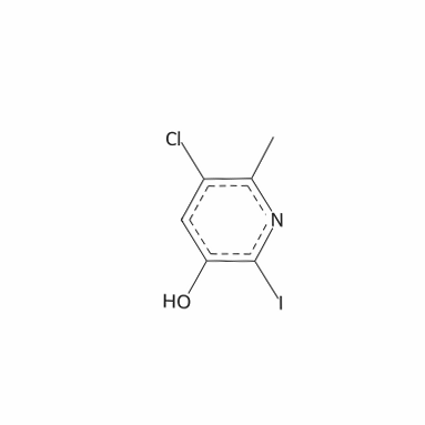 Cc1nc(I)c(O)cc1Cl